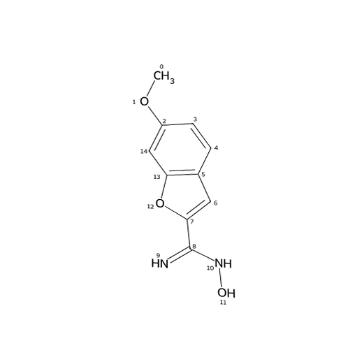 COc1ccc2cc(C(=N)NO)oc2c1